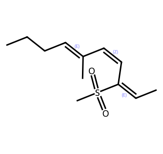 C\C=C(/C=C\C(C)=C\CCC)S(C)(=O)=O